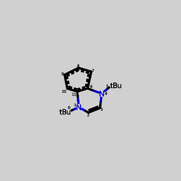 CC(C)(C)N1C=CN(C(C)(C)C)c2ccccc21